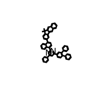 CC1(C)c2ccc(-c3ccc(-c4nc(-c5ccccc5)cc(-c5ccc(-c6ccccc6)c(-c6ccccc6)c5)n4)c4ccccc34)cc2-c2cc3ccccc3cc21